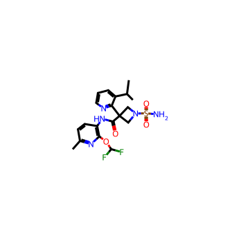 Cc1ccc(NC(=O)C2(c3ncccc3C(C)C)CN(S(N)(=O)=O)C2)c(OC(F)F)n1